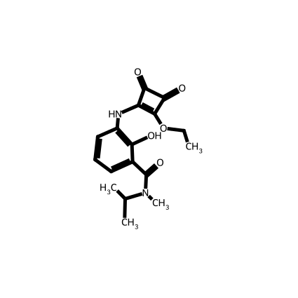 CCOc1c(Nc2cccc(C(=O)N(C)C(C)C)c2O)c(=O)c1=O